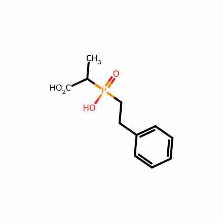 CC(C(=O)O)P(=O)(O)CCc1ccccc1